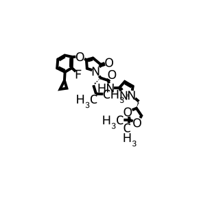 CC(C)C[C@@H](C(=O)Nc1ccn(C[C@@H]2COC(C)(C)O2)n1)N1CC(Oc2cccc(C3CC3)c2F)=CC1=O